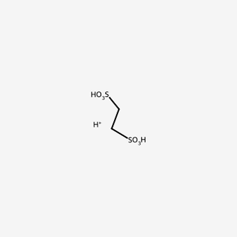 O=S(=O)(O)CCS(=O)(=O)O.[H+]